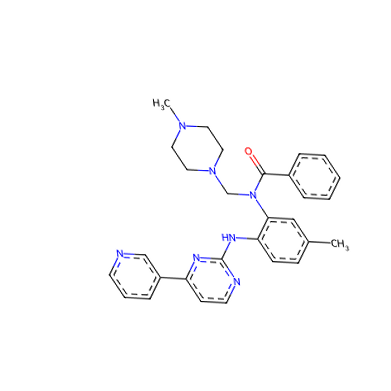 Cc1ccc(Nc2nccc(-c3cccnc3)n2)c(N(CN2CCN(C)CC2)C(=O)c2ccccc2)c1